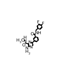 CNC(=O)c1nc(-c2cccc(C(=O)NCc3ccc(F)c(F)c3)c2)cnc1N